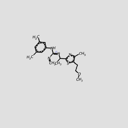 C=N/C(=N\C(C)c1nc(C)c(CCOC)s1)Nc1cc(C)cc(C)c1